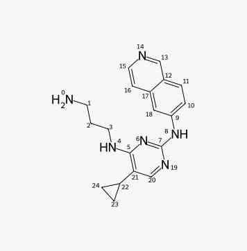 NCCCNc1nc(Nc2ccc3cnccc3c2)ncc1C1CC1